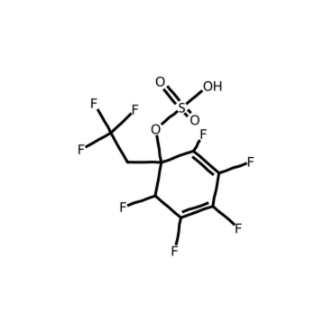 O=S(=O)(O)OC1(CC(F)(F)F)C(F)=C(F)C(F)=C(F)C1F